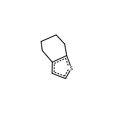 [c]1cc2c(s1)CCCC2